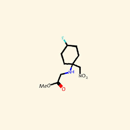 COC(=O)CNC1(C[N+](=O)[O-])CCC(F)CC1